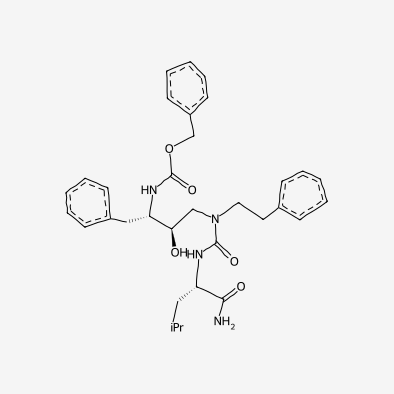 CC(C)C[C@H](NC(=O)N(CCc1ccccc1)C[C@@H](O)[C@H](Cc1ccccc1)NC(=O)OCc1ccccc1)C(N)=O